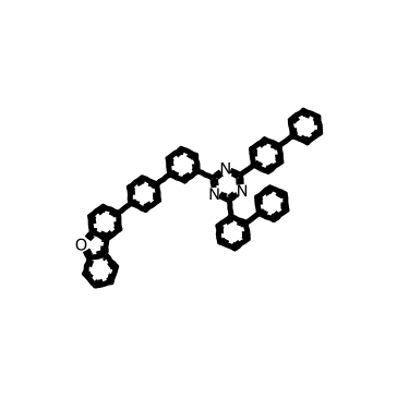 c1ccc(-c2ccc(-c3nc(-c4cccc(-c5ccc(-c6ccc7oc8ccccc8c7c6)cc5)c4)nc(-c4ccccc4-c4ccccc4)n3)cc2)cc1